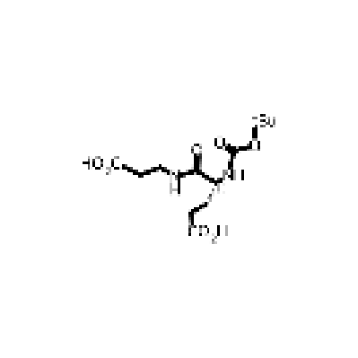 CC(C)(C)OC(=O)N[C@H](CCC(=O)O)C(=O)NCCC(=O)O